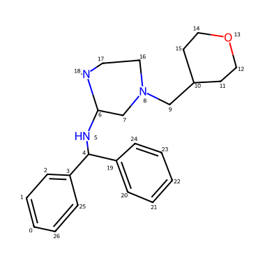 c1ccc(C(NC2CN(CC3CCOCC3)CC[N]2)c2ccccc2)cc1